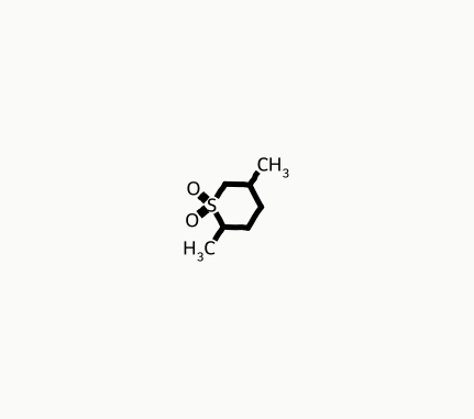 CC1CCC(C)S(=O)(=O)C1